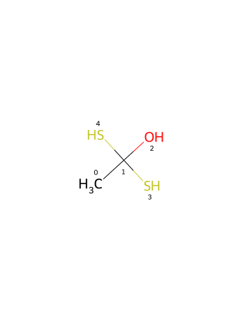 CC(O)(S)S